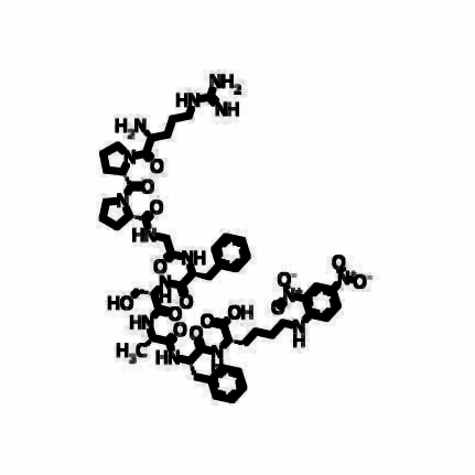 C[C@H](NC(=O)[C@H](CO)NC(=O)[C@H](Cc1ccccc1)NC(=O)CNC(=O)[C@@H]1CCCN1C(=O)[C@@H]1CCCN1C(=O)[C@@H](N)CCCNC(=N)N)C(=O)N[C@@H](Cc1ccccc1)C(=O)N[C@@H](CCCCNc1ccc([N+](=O)[O-])cc1[N+](=O)[O-])C(=O)O